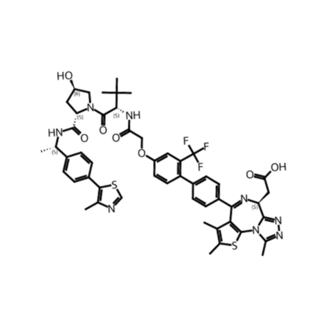 Cc1ncsc1-c1ccc([C@H](C)NC(=O)[C@@H]2C[C@@H](O)CN2C(=O)[C@@H](NC(=O)COc2ccc(-c3ccc(C4=N[C@@H](CC(=O)O)c5nnc(C)n5-c5sc(C)c(C)c54)cc3)c(C(F)(F)F)c2)C(C)(C)C)cc1